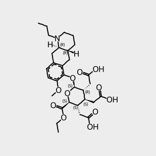 CCCN1CCC[C@@H]2Cc3c(ccc(OC)c3O[C@@H]3O[C@H](C(=O)OCC)[C@@H](CC(=O)O)[C@H](CC(=O)O)[C@H]3CC(=O)O)C[C@H]21